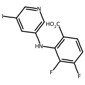 O=C(O)c1ccc(F)c(F)c1Nc1cncc(I)c1